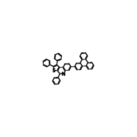 c1ccc(-c2sc3c(-c4ccccc4)nc4cc(-c5ccc6c7ccccc7c7ccccc7c6c5)ccc4c3c2-c2ccccc2)cc1